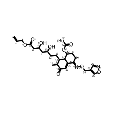 C=CCOC(=O)CC(O)CC(O)CCC1C(C)C(=O)C=C2/C(=N/OCc3cnoc3)CCC(OC(=O)C(C)CC)C21